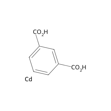 O=C(O)c1cccc(C(=O)O)c1.[Cd]